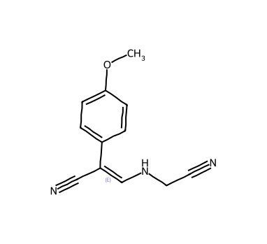 COc1ccc(/C(C#N)=C\NCC#N)cc1